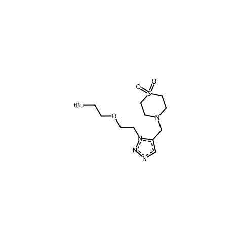 CC(C)(C)CCOCCn1nncc1CN1CCS(=O)(=O)CC1